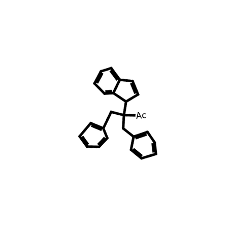 CC(=O)C(Cc1ccccc1)(Cc1ccccc1)C1C=Cc2ccccc21